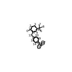 Cc1ccc(C(C)(C)C)cc1Cc1ccc([N+](=O)[O-])cc1